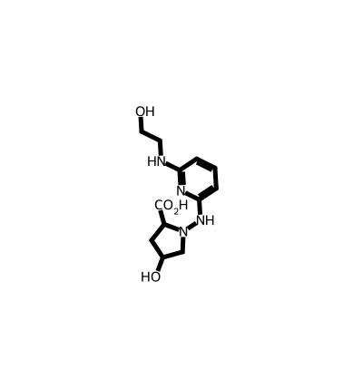 O=C(O)C1CC(O)CN1Nc1cccc(NCCO)n1